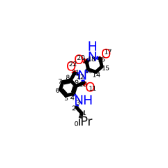 CC(C)CCNc1cccc2c1C(=O)N(C1CCC(=O)NC1=O)C2=O